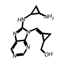 NC1CC1Nc1nc2cncnc2n1C=C1CC1CO